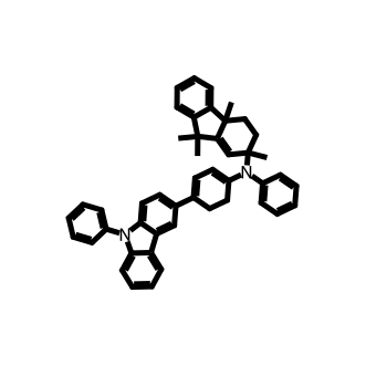 CC1(C)C2=CC(C)(N(C3=CC=C(c4ccc5c(c4)c4ccccc4n5-c4ccccc4)CC3)c3ccccc3)CCC2(C)c2ccccc21